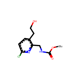 CC(C)(C)OC(=O)NCc1nc(Cl)ccc1CCO